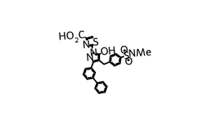 CNS(=O)(=O)c1ccc(Cc2c(-c3cccc(-c4ccccc4)c3)nn(-c3nc(C(=O)O)cs3)c2O)cc1